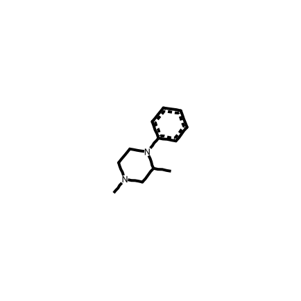 CC1CN(C)CCN1c1ccccc1